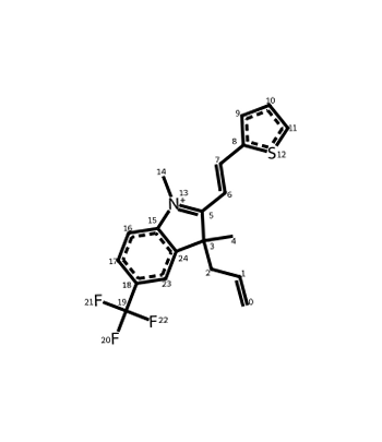 C=CCC1(C)C(/C=C/c2cccs2)=[N+](C)c2ccc(C(F)(F)F)cc21